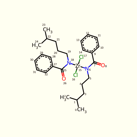 CC(C)CCC[N](C(=O)c1ccccc1)[Zr]([Cl])([Cl])[N](CCCC(C)C)C(=O)c1ccccc1